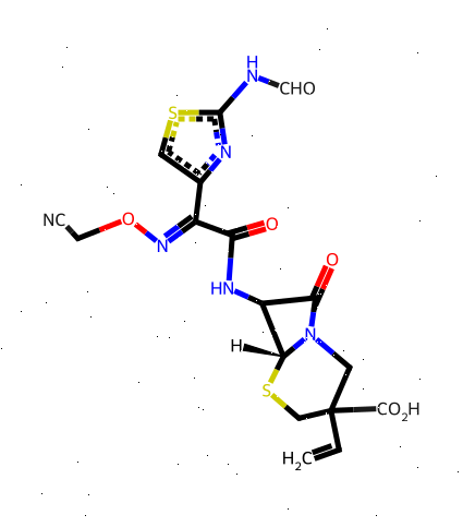 C=CC1(C(=O)O)CS[C@@H]2C(NC(=O)C(=NOCC#N)c3csc(NC=O)n3)C(=O)N2C1